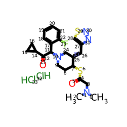 CN(C)CC(=O)SC1CCN(C(C(=O)C2CC2)c2ccccc2F)C/C1=C\c1csnn1.Cl.Cl